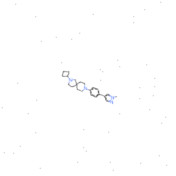 Cn1cc(-c2ccc(N3CCC4(CC3)CCN(C3CCC3)C4)cc2)cn1